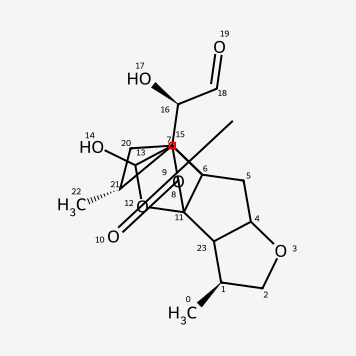 C[C@@H]1COC2CC34C5OC(=O)C3(OC(O)C4([C@@H](O)C=O)C[C@H]5C)C21